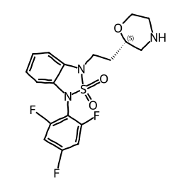 O=S1(=O)N(CC[C@H]2CNCCO2)c2ccccc2N1c1c(F)cc(F)cc1F